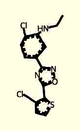 CCNc1cc(-c2noc(-c3sccc3Cl)n2)ccc1Cl